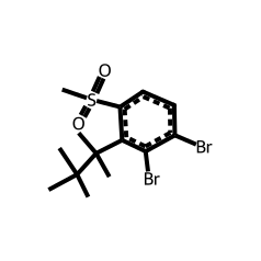 CC(C)(C)C(C)(C)c1c(S(C)(=O)=O)ccc(Br)c1Br